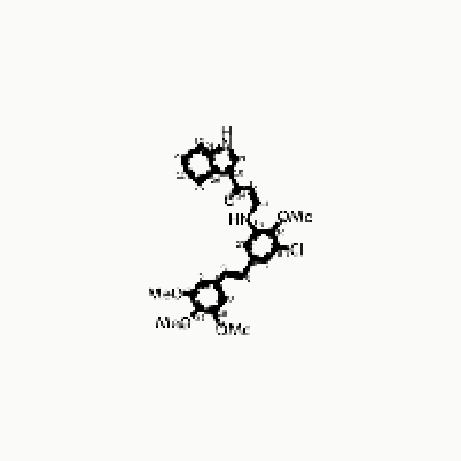 COc1cc(C=Cc2cc(Cl)c(OC)c(N/C=C\C(=O)c3c[nH]c4ccccc34)c2)cc(OC)c1OC